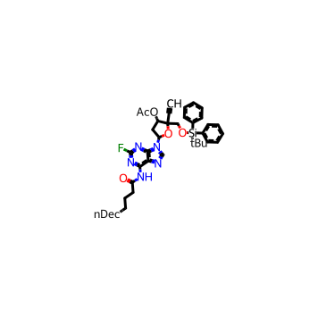 C#CC1(CO[Si](c2ccccc2)(c2ccccc2)C(C)(C)C)OC(n2cnc3c(NC(=O)CCCCCCCCCCCCC)nc(F)nc32)CC1OC(C)=O